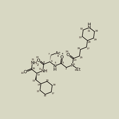 CCN(CC(=O)N[C@@H](CC(C)=O)C(=O)N[C@@H](CC1CCCCC1)C(N)=O)C(=O)CCCC1CCNCC1